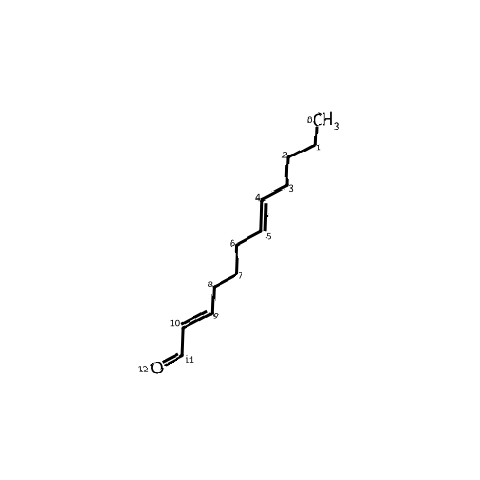 CCCCC=CCCCC=C[C]=O